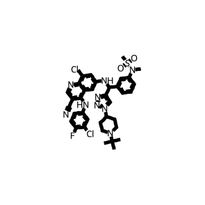 CN(c1cccc(C(Nc2cc(Cl)c3ncc(C#N)c(Nc4ccc(F)c(Cl)c4)c3c2)c2cn(C3CCN(C(C)(C)C)CC3)nn2)c1)S(C)(=O)=O